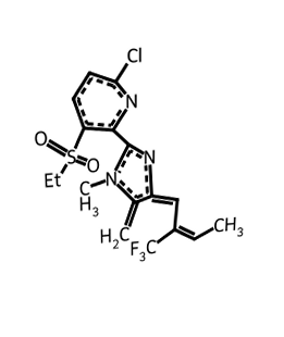 C=c1/c(=C\C(=C/C)C(F)(F)F)nc(-c2nc(Cl)ccc2S(=O)(=O)CC)n1C